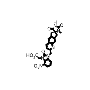 CN1C(=O)NC(=O)[C@]12Cc1cc3ccc(Cn4c(=O)n(CC(=O)O)c5c([N+](=O)[O-])cccc54)nc3cc1C2